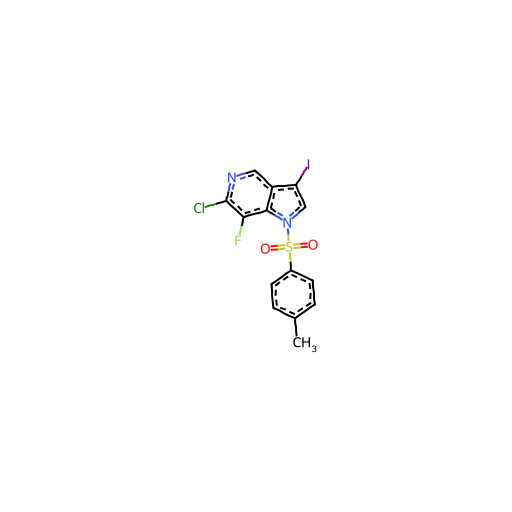 Cc1ccc(S(=O)(=O)n2cc(I)c3cnc(Cl)c(F)c32)cc1